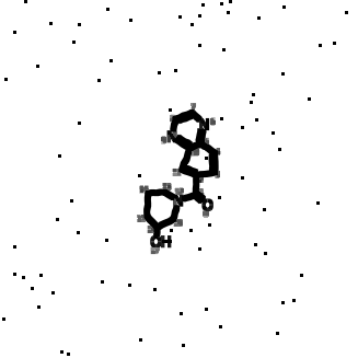 O=C(c1ccc2nccnc2c1)N1CCCC(O)C1